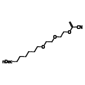 C=C(C#N)OCCOCCOCCCCCCCCCCCCCCCC